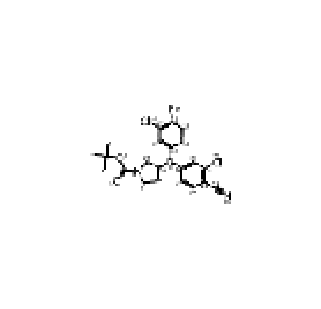 CC(C)(C)OC(=O)N1CCC(N(c2ccc(F)c(Cl)c2)c2ccc(C#N)c(Cl)c2)C1